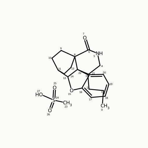 CCCC1CNC(=O)C23CCC(CC2)C2Oc4ccccc4C123.CS(=O)(=O)O